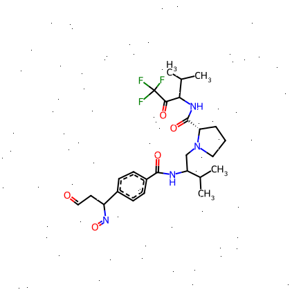 CC(C)C(CN1CCC[C@H]1C(=O)NC(C(=O)C(F)(F)F)C(C)C)NC(=O)c1ccc(C(CC=O)N=O)cc1